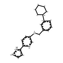 c1cc(COc2ccc(-c3ccn[nH]3)nc2)cc(C2CCCCC2)c1